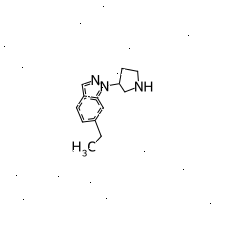 CCc1ccc2cnn(C3CCNC3)c2c1